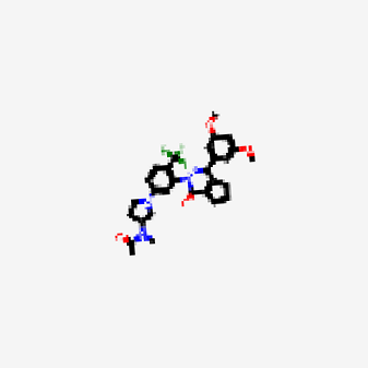 COc1cc(OC)cc(-c2nn(-c3cc(N4CCC(N(C)C(C)=O)C4)ccc3C(F)(F)F)c(=O)c3c2CCC3)c1